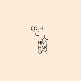 CC1=C(C)/C(=C/c2[nH]c(CCCCCC(=O)O)c(C)c2C)NC1=O